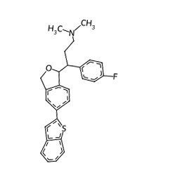 CN(C)CCC(c1ccc(F)cc1)C1OCc2cc(-c3cc4ccccc4s3)ccc21